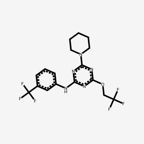 FC(F)(F)COc1nc(Nc2cccc(C(F)(F)F)c2)nc(N2CCCCC2)n1